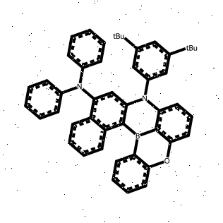 CC(C)(C)c1cc(N2c3cccc4c3B(c3ccccc3O4)c3c2cc(N(c2ccccc2)c2ccccc2)c2ccccc32)cc(C(C)(C)C)c1